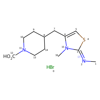 Br.C/N=c1\scc(CC2CCN(C(=O)O)CC2)n1C